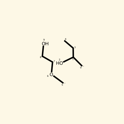 [CH2]C(O)CC.[CH2]OCCO